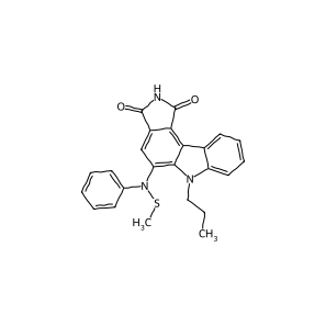 CCCn1c2ccccc2c2c3c(cc(N(SC)c4ccccc4)c21)C(=O)NC3=O